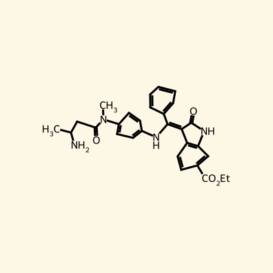 CCOC(=O)c1ccc2c(c1)NC(=O)C2=C(Nc1ccc(N(C)C(=O)CC(C)N)cc1)c1ccccc1